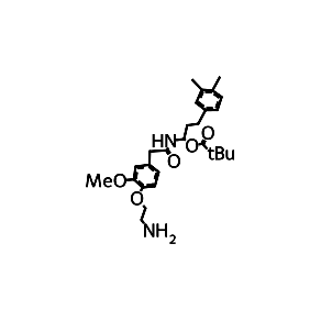 COc1cc(CC(=O)NC(CCc2ccc(C)c(C)c2)OC(=O)C(C)(C)C)ccc1OCCN